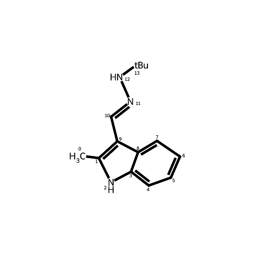 Cc1[nH]c2ccccc2c1C=NNC(C)(C)C